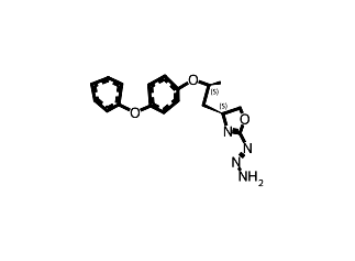 C[C@@H](C[C@H]1COC(N=NN)=N1)Oc1ccc(Oc2ccccc2)cc1